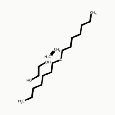 C=C.CCCCCCCOCCCCCCC.OCCO